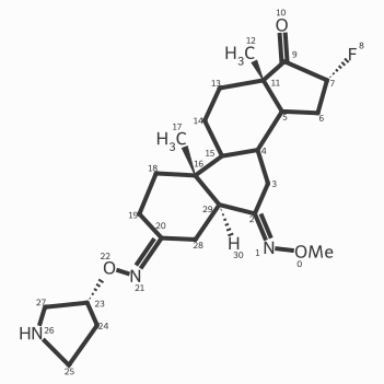 CON=C1CC2C3C[C@@H](F)C(=O)[C@@]3(C)CCC2[C@@]2(C)CCC(=NO[C@@H]3CCNC3)C[C@H]12